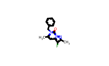 Cc1nn2c(=O)n(Cc3ccccc3)c(C)cc2c1F